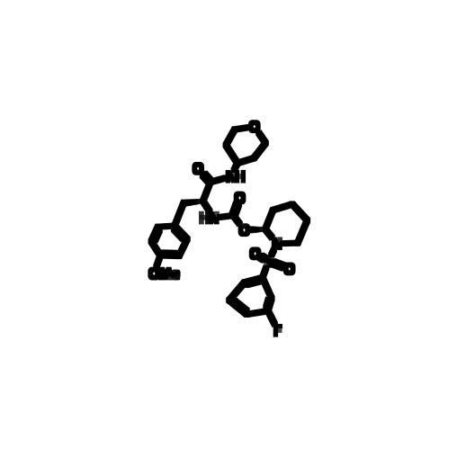 COc1ccc(C[C@H](NC(=O)O[C@H]2CCCCN2S(=O)(=O)c2cccc(F)c2)C(=O)NC2CCOCC2)cc1